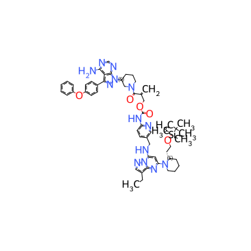 C=C(COC(=O)Nc1ccc(CNc2cc(N3CCCC[C@H]3CCO[Si](C)(C)C(C)(C)C)nc3c(CC)cnn23)cn1)C(=O)N1CCC[C@H](n2nc(-c3ccc(Oc4ccccc4)cc3)c3c(N)ncnc32)C1